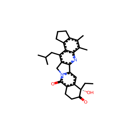 CC[C@@]1(O)C(=O)CCc2c1cc1n(c2=O)Cc2c-1nc1c(C)c(C)c3c(c1c2CC(C)C)CCC3